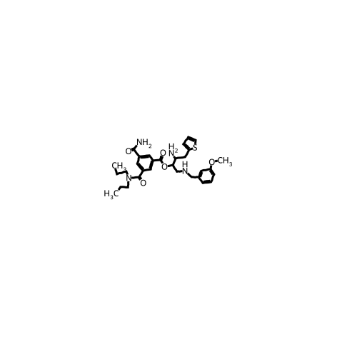 CCCN(CCC)C(=O)c1cc(C(N)=O)cc(C(=O)OC(CNCc2cccc(OC)c2)C(N)Cc2cccs2)c1